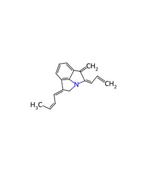 C=C/C=c1\c(=C)c2cccc3c2n1C/C3=C\C=C/C